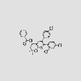 CC1(C)C[C@H](OC(=O)c2ccccc2)c2cc(-c3ccc(Cl)cc3)c(-c3ccc(Cl)cc3Cl)nc2O1